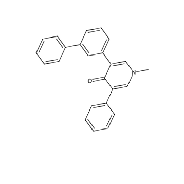 Cn1cc(-c2ccccc2)c(=O)c(-c2cccc(-c3ccccc3)c2)c1